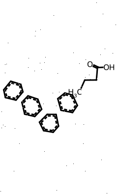 CCCC(=O)O.c1ccccc1.c1ccccc1.c1ccccc1.c1ccccc1